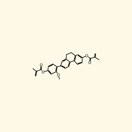 C=C(C)C(=O)Oc1ccc2c(c1)CCc1cc(-c3ccc(OC(=O)C(=C)C)cc3OC)ccc1-2